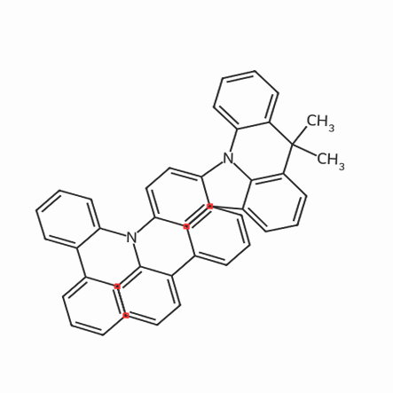 CC1(C)c2ccccc2-n2c3ccc(N(c4ccccc4-c4ccccc4)c4ccccc4-c4ccccc4)cc3c3cccc1c32